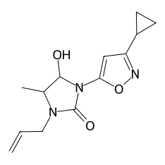 C=CCN1C(=O)N(c2cc(C3CC3)no2)C(O)C1C